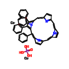 C1=Cc2cc3c(-c4ccccc4)c(-c4ccccc4)c(c(-c4ccccc4)c4nc(cc5ccc(cc1n2)[nH]5)C=C4)n3-c1ccccc1.O=P(O)(O)O.[Co].[Cu]